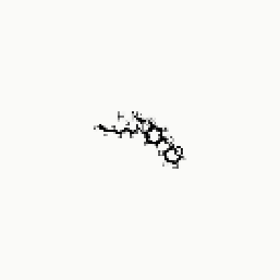 C=CCCCCN1c2ccc(OC3CCCCO3)cc2SC1N